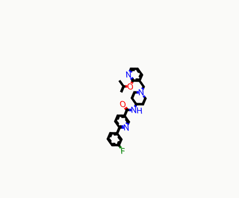 CC(C)Oc1ncccc1CN1CCC(NC(=O)c2ccc(-c3cccc(F)c3)nc2)CC1